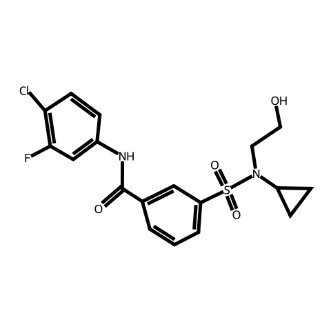 O=C(Nc1ccc(Cl)c(F)c1)c1cccc(S(=O)(=O)N(CCO)C2CC2)c1